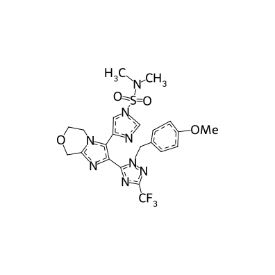 COc1ccc(Cn2nc(C(F)(F)F)nc2-c2nc3n(c2-c2cn(S(=O)(=O)N(C)C)cn2)CCOC3)cc1